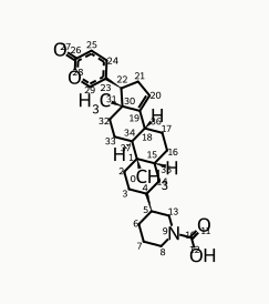 C[C@]12CCC([C@@H]3CCCN(C(=O)O)C3)C[C@H]1CC[C@H]1C3=CC[C@H](c4ccc(=O)oc4)[C@@]3(C)CC[C@@H]12